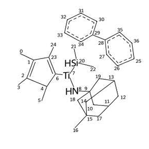 CC1=C(C)C(C)[C]([Ti]([NH]C23CC4CC(CC(C)(C4)C2)C3)[SiH](C)C)=C1C.c1ccc(-c2ccccc2)cc1